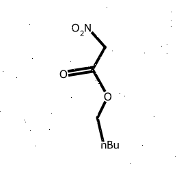 CCCCCOC(=O)C[N+](=O)[O-]